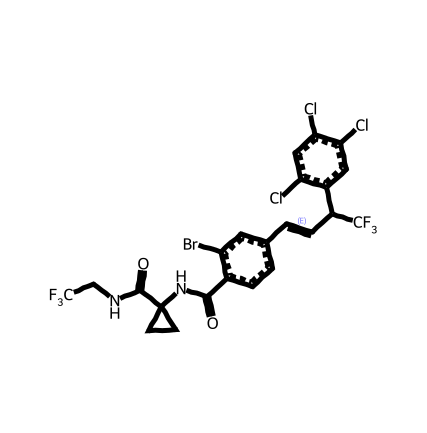 O=C(NC1(C(=O)NCC(F)(F)F)CC1)c1ccc(/C=C/C(c2cc(Cl)c(Cl)cc2Cl)C(F)(F)F)cc1Br